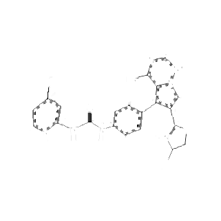 CCOC(=O)C1COC(c2cn3ncnc(N)c3c2-c2ccc(NC(=O)Nc3cc(C(F)(F)F)ccn3)cc2)=N1